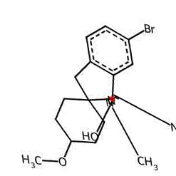 COC1CCC2(CC1)Cc1ccc(Br)cc1C21N=C(N)N(C)C1O